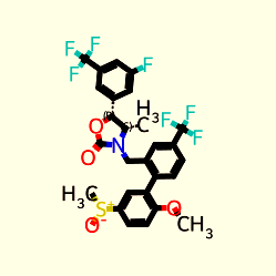 COc1ccc([S+](C)[O-])cc1-c1ccc(C(F)(F)F)cc1CN1C(=O)O[C@H](c2cc(F)cc(C(F)(F)F)c2)[C@@H]1C